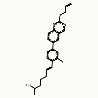 C=CCOc1ncc2cc(-c3ccc(C=CCCCC(C)O)c(F)c3)ccc2n1